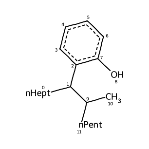 CCCCCCCC(c1ccccc1O)C(C)CCCCC